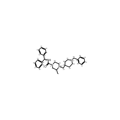 CC1CN(C(=O)NC(c2ccccc2)c2ccccc2)CCN1CC1CCN(Cc2ccccc2)CC1